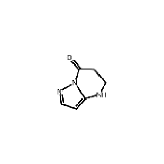 O=C1CCNc2ccnn21